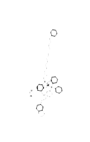 NC(=O)C(c1ccccc1)(c1ccccc1)C1CC[N+](CCc2ccc3c(c2)CCO3)(Cc2cc(C(O)CNCCCCCCOCCCCc3ccccc3)ccc2OP(=O)(O)O)C1